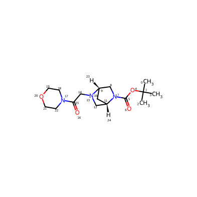 CC(C)(C)OC(=O)N1C[C@@H]2C[C@H]1CN2CC(=O)N1CCOCC1